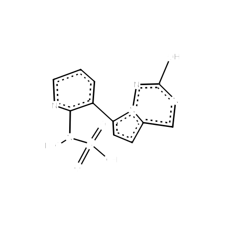 CN(c1ncccc1-c1ccc2cnc(O)nn12)S(C)(=O)=O